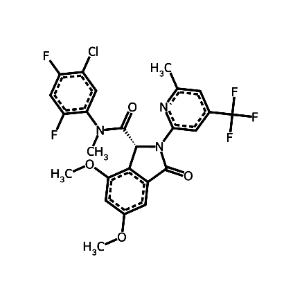 COc1cc(OC)c2c(c1)C(=O)N(c1cc(C(F)(F)F)cc(C)n1)[C@H]2C(=O)N(C)c1cc(Cl)c(F)cc1F